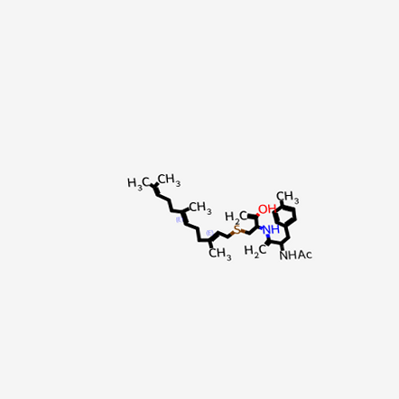 C=C(O)C(CSC/C=C(\C)CC/C=C(\C)CCC=C(C)C)NC(=C)C(Cc1ccc(C)cc1)NC(C)=O